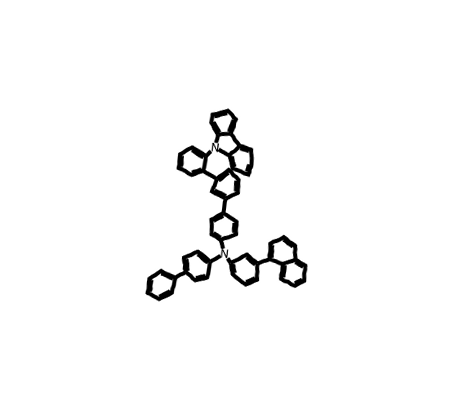 c1ccc(-c2ccc(N(c3ccc(-c4cccc(-c5ccccc5-n5c6ccccc6c6ccccc65)c4)cc3)c3cccc(-c4cccc5ccccc45)c3)cc2)cc1